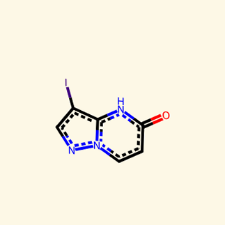 O=c1ccn2ncc(I)c2[nH]1